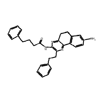 Nc1ccc2c(c1)CCc1nc(NC(=O)CCCc3ccccc3)c(CCc3ccccc3)nc1-2